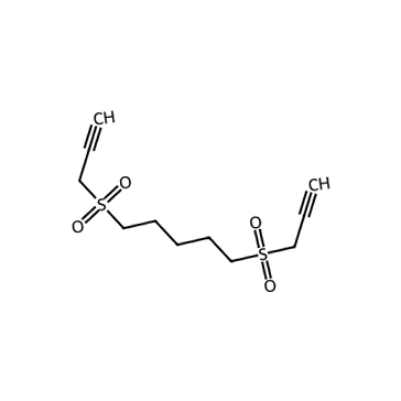 C#CCS(=O)(=O)CCCCCS(=O)(=O)CC#C